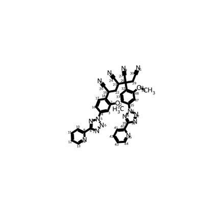 COc1cc(-n2nnc(-c3ccccn3)n2)ccc1C(C#N)CC(C#N)C(C#N)(CC#N)c1ccc(-n2nnc(-c3ccccn3)n2)cc1OC